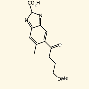 COCCCC(=O)c1cc2c(cc1C)=NC(C(=O)O)N=2